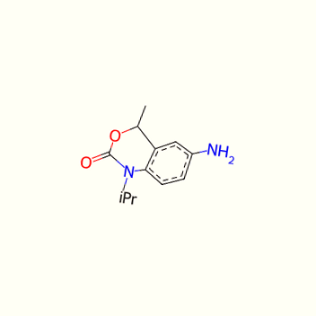 CC1OC(=O)N(C(C)C)c2ccc(N)cc21